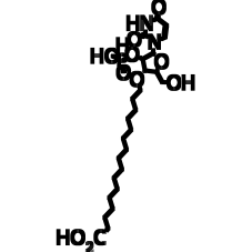 O=C(O)CCCCCCCCCCCCCCCOC1C(CO)OC(n2ccc(=O)[nH]c2=O)C1O[PH](=O)O